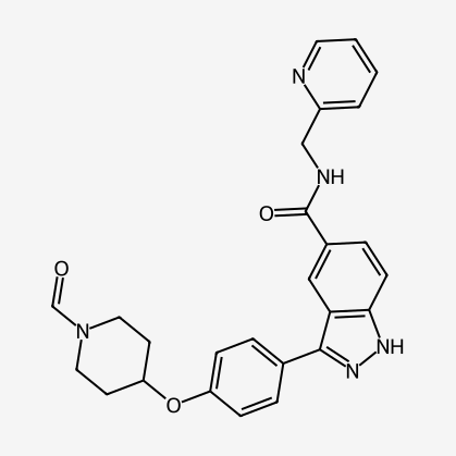 O=CN1CCC(Oc2ccc(-c3n[nH]c4ccc(C(=O)NCc5ccccn5)cc34)cc2)CC1